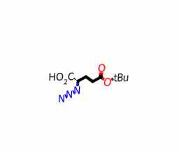 CC(C)(C)OC(=O)CC[C@H](N=[N+]=[N-])C(=O)O